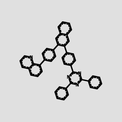 c1ccc(-c2nc(-c3ccccc3)nc(-c3ccc(-c4cc5ccccc5cc4-c4ccc(-c5cccc6cccnc56)cc4)cc3)n2)cc1